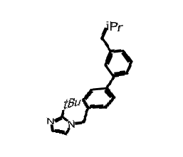 CC(C)Cc1cccc(-c2ccc(Cn3ccnc3C(C)(C)C)cc2)c1